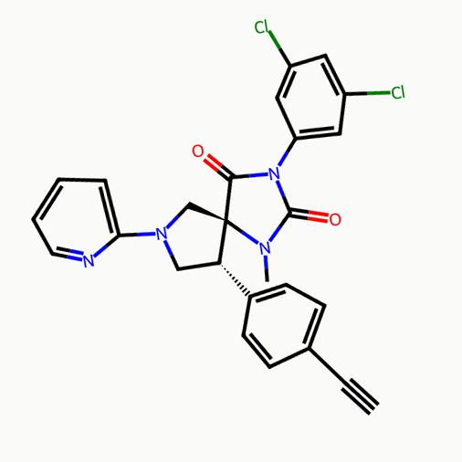 C#Cc1ccc([C@@H]2CN(c3ccccn3)C[C@]23C(=O)N(c2cc(Cl)cc(Cl)c2)C(=O)N3C)cc1